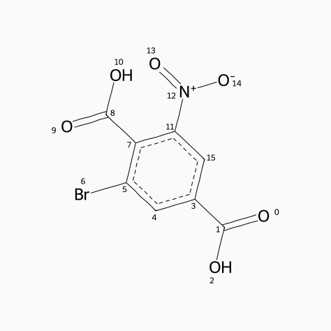 O=C(O)c1cc(Br)c(C(=O)O)c([N+](=O)[O-])c1